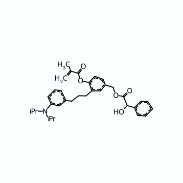 C=C(C)C(=O)Oc1ccc(COC(=O)[C@H](O)c2ccccc2)cc1CCCc1cccc(N(C(C)C)C(C)C)c1